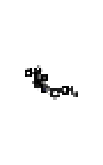 Cc1cccc(/C=N/N2CCN(C(=O)Cl)C2=O)c1